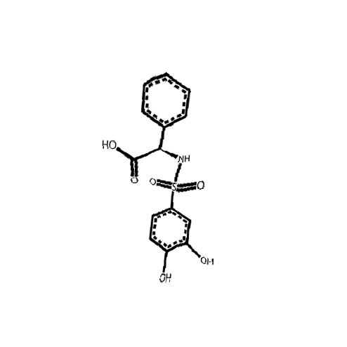 O=C(O)[C@H](NS(=O)(=O)c1ccc(O)c(O)c1)c1ccccc1